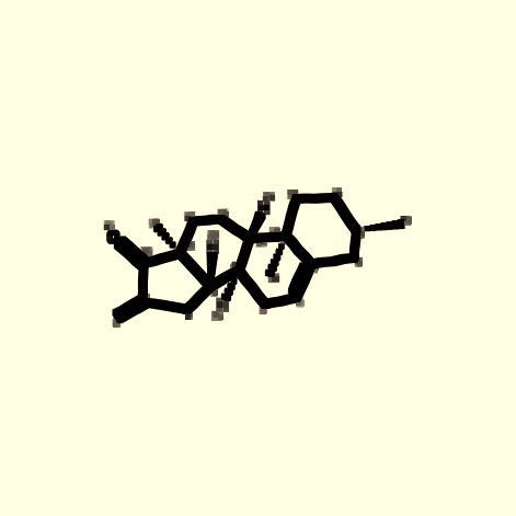 C=C1C[C@H]2[C@@H]3CC=C4C[C@@H](C)CC[C@]4(C)[C@H]3CC[C@]2(C)C1=O